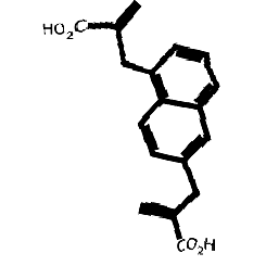 C=C(Cc1ccc2c(CC(=C)C(=O)O)cccc2c1)C(=O)O